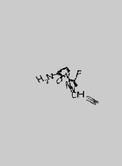 Cn1cc(F)c(-n2cccc(N)c2=O)n1